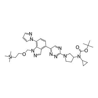 CC(C)(C)OC(=O)N(C1CC1)C1CCN(c2ncc(-c3ccc(-n4cccn4)c4c3cnn4COCC[Si](C)(C)C)nn2)C1